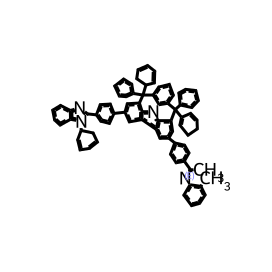 C/C(=N\c1ccccc1C)c1ccc(-c2cc3c4c(c2)c2cc(-c5ccc(-c6nc7ccccc7n6C6C=CC=CC6)cc5)cc5c2n4-c2c(cccc2C5(c2ccccc2)C2C=CC=CC2)C3(C2=CCCC=C2)c2ccccc2)cc1